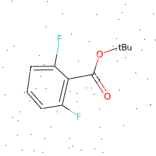 CC(C)(C)OC(=O)c1c(F)c[c]cc1F